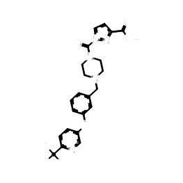 O=C(O)c1ccn(C(=O)N2CCN(Cc3cccc(Oc4ccc(C(F)(F)F)nc4)c3)CC2)n1